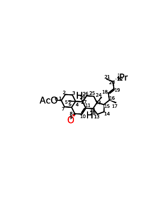 CC(=O)OC1CC[C@@]2(C)C(C1)C(=O)C=C1[C@@H]3CC[C@H]([C@H](C)C=C[C@H](C)C(C)C)[C@@]3(C)CC[C@@H]12